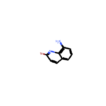 Nc1cccc2ccc(Br)nc12